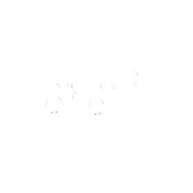 CN(C(=O)CCC(F)(F)F)C1CN(C(=O)c2cc(Cc3n[nH]c(=O)c4ccc(OC5CCC5)cc34)ccc2F)C1